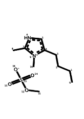 CCCCc1c[nH]c(C)[n+]1C.COS(=O)(=O)[O-]